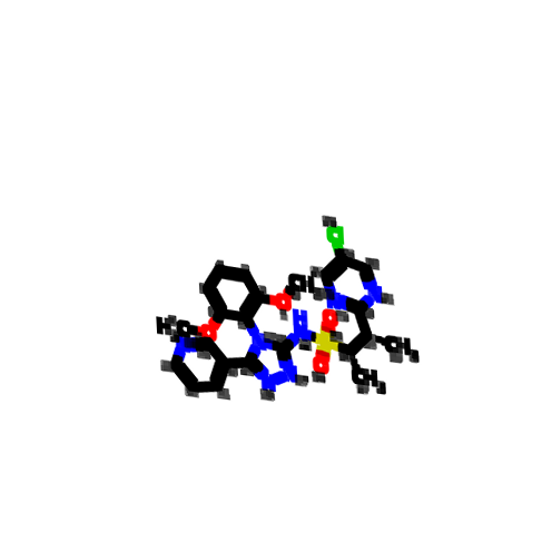 COc1cccc(OC)c1-n1c(NS(=O)(=O)[C@@H](C)[C@@H](C)c2ncc(Cl)cn2)nnc1-c1cccnc1